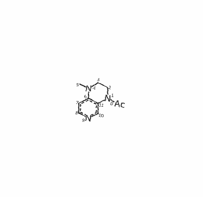 CC(=O)N1CCN(C)c2ccncc21